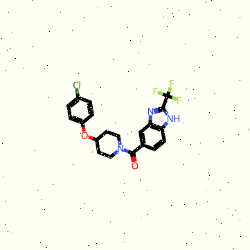 O=C(c1ccc2[nH]c(C(F)(F)F)nc2c1)N1CCC(Oc2ccc(Cl)cc2)CC1